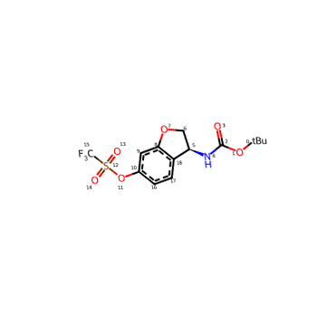 CC(C)(C)OC(=O)N[C@@H]1COc2cc(OS(=O)(=O)C(F)(F)F)ccc21